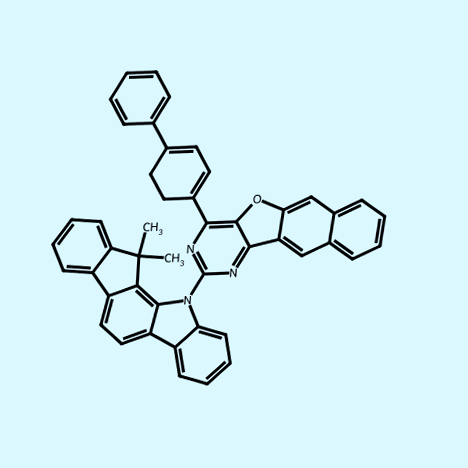 CC1(C)c2ccccc2-c2ccc3c4ccccc4n(-c4nc(C5=CC=C(c6ccccc6)CC5)c5oc6cc7ccccc7cc6c5n4)c3c21